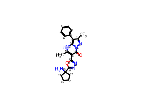 Cc1[nH]c2c(-c3ccccc3)c(C(F)(F)F)nn2c(=O)c1-c1nnc(C2(N)CCCC2)o1